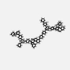 c1ccc(-c2ccc(-c3cc(-c4ccc(-c5ccc(-c6cccc7c6ccc6nc(-c8ccc(-c9cc(-c%10ccc(-c%11cccc%12c%11sc%11ccccc%11%12)cc%10)nc(-c%10ccccc%10)n9)cc8)c8sc9ccccc9c8c67)cc5)cc4)nc(-c4ccc(-c5nc6ccc7ccccc7c6c6c5sc5ccccc56)cc4)n3)cc2)cc1